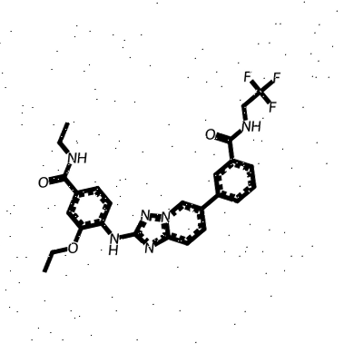 CCNC(=O)c1ccc(Nc2nc3ccc(-c4cccc(C(=O)NCC(F)(F)F)c4)cn3n2)c(OCC)c1